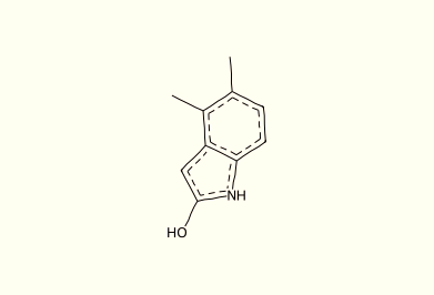 Cc1ccc2[nH]c(O)cc2c1C